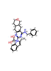 CC1=Cc2ccccc2[N+]1(B(O)O)c1nc2c(c(NCc3ccccc3)n1)CC1COCCC1C2